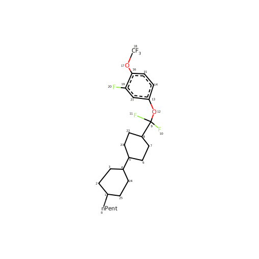 CCCCCC1CCC(C2CCC(C(F)(F)Oc3ccc(OC(F)(F)F)c(F)c3)CC2)CC1